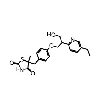 CCc1ccc([C@H](CO)COc2ccc(CC3(C)SC(=O)NC3=O)cc2)nc1